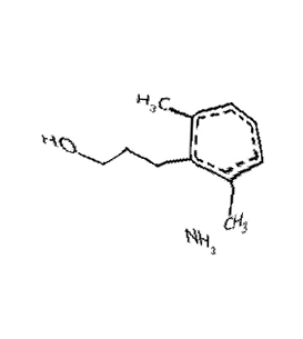 Cc1cccc(C)c1CCCO.N